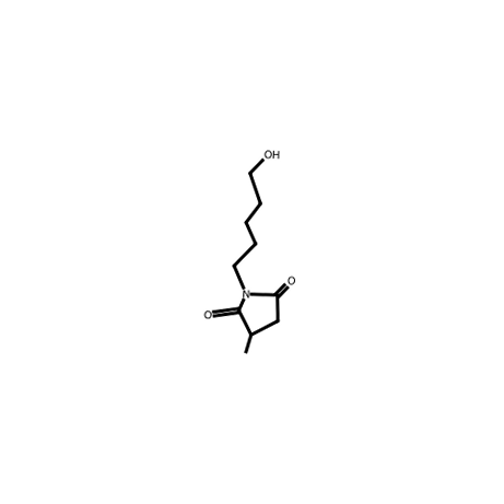 CC1CC(=O)N(CCCCCO)C1=O